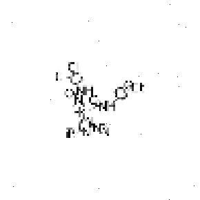 CCOc1ccc(CCNC(=O)CC2CN(C(=O)Nc3ccc(Cl)c(Cl)c3)CCN2c2cc(C(C)C)nc(-n3ccnc3)n2)cc1